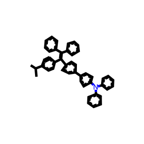 CC(C)c1c#cc(C(=C(c2ccccc2)c2ccccc2)c2ccc(-c3ccc(N(c4ccccc4)c4ccccc4)cc3)cc2)cc1